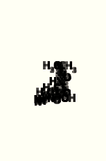 C[C@@H](NC(=O)Cn1cnnn1)[C@H]1C(=O)N2C(C(=O)O)=C(S[C@@H]3CN[C@H](C(=O)N4CCC(N(C)C)C4)C3)[C@H](C)[C@H]12